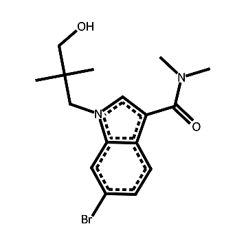 CN(C)C(=O)c1cn(CC(C)(C)CO)c2cc(Br)ccc12